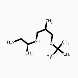 CC(CN[C@@H](C)CN)COC(C)(C)C